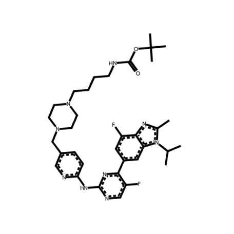 Cc1nc2c(F)cc(-c3nc(Nc4ccc(CN5CCN(CCCCNC(=O)OC(C)(C)C)CC5)cn4)ncc3F)cc2n1C(C)C